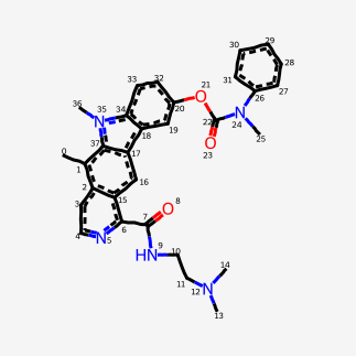 Cc1c2ccnc(C(=O)NCCN(C)C)c2cc2c3cc(OC(=O)N(C)c4ccccc4)ccc3n(C)c12